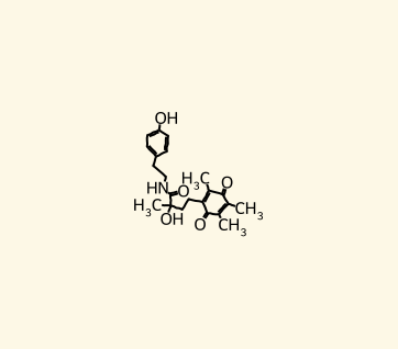 CC1=C(C)C(=O)C(CCC(C)(O)C(=O)NCCc2ccc(O)cc2)=C(C)C1=O